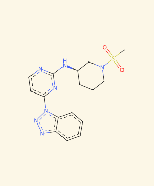 CS(=O)(=O)N1CCC[C@@H](Nc2nccc(-n3nnc4ccccc43)n2)C1